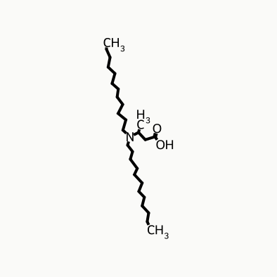 CCCCCCCCCCCCN(CCCCCCCCCCCC)C(C)CC(=O)O